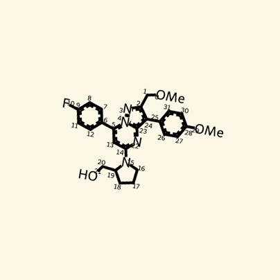 COCc1nn2c(-c3ccc(F)cc3)cc(N3CCCC3CO)nc2c1-c1ccc(OC)cc1